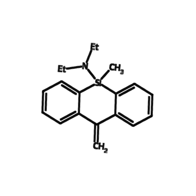 C=C1c2ccccc2[Si](C)(N(CC)CC)c2ccccc21